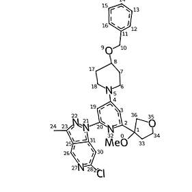 COC1(c2cc(N3CCC(OCc4ccccc4)CC3)cc(-n3nc(C)c4cnc(Cl)cc43)n2)CCOC1